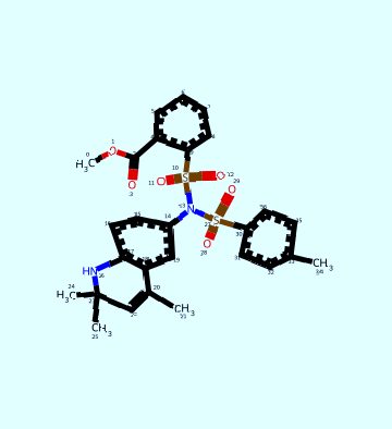 COC(=O)c1ccccc1S(=O)(=O)N(c1ccc2c(c1)C(C)=CC(C)(C)N2)S(=O)(=O)c1ccc(C)cc1